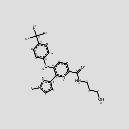 Cn1ccc(-c2nc(C(=O)NCCCO)ccc2Oc2ccc(C(F)(F)F)cc2)n1